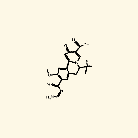 COc1cc2c(cc1C(=N)/N=C\N)CC(C(C)(C)C)n1cc(C(=O)O)c(=O)cc1-2